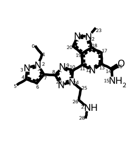 CCn1nc(C)cc1-c1nc(-c2nc(C(N)=O)cc3c2cnn3C)n(CCNC)n1